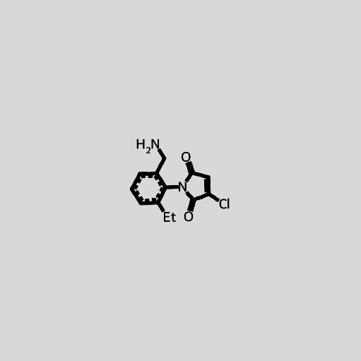 CCc1cccc(CN)c1N1C(=O)C=C(Cl)C1=O